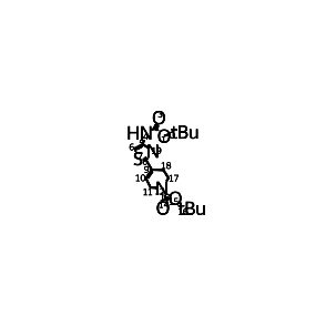 CC(C)(C)OC(=O)Nc1csc(C2=CCN(C(=O)OC(C)(C)C)CC2)n1